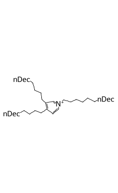 CCCCCCCCCCCCCCCC[n+]1ccc(CCCCCCCCCCCCCC)c(CCCCCCCCCCCCCC)c1